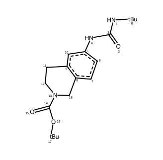 CC(C)(C)NC(=O)Nc1ccc2c(c1)CCN(C(=O)OC(C)(C)C)C2